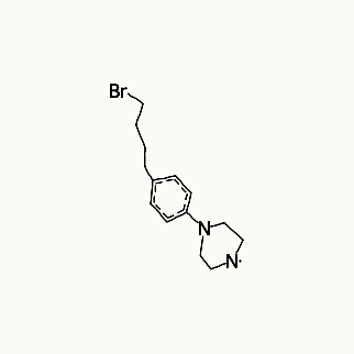 BrCCCCc1ccc(N2CC[N]CC2)cc1